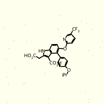 CC(C)Oc1ccc(-c2c(Oc3ccc(C(F)(F)F)cn3)ccc3[nH]c(CC(=O)O)c(C(=O)O)c23)cc1